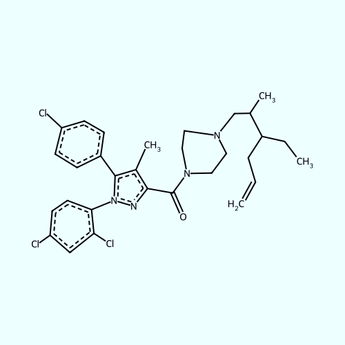 C=CCC(CC)C(C)CN1CCN(C(=O)c2nn(-c3ccc(Cl)cc3Cl)c(-c3ccc(Cl)cc3)c2C)CC1